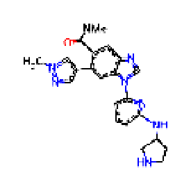 CNC(=O)c1cc2ncn(-c3cccc(NC4CCNC4)n3)c2cc1-c1cnn(C)c1